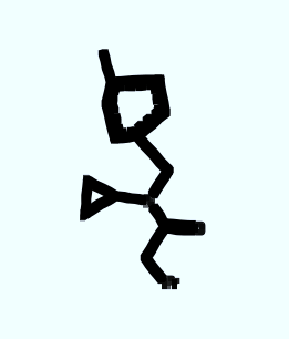 Cc1ccc(CN(C(=O)CC(C)C)C2CC2)cc1